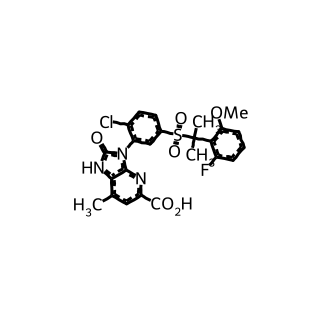 COc1cccc(F)c1C(C)(C)S(=O)(=O)c1ccc(Cl)c(-n2c(=O)[nH]c3c(C)cc(C(=O)O)nc32)c1